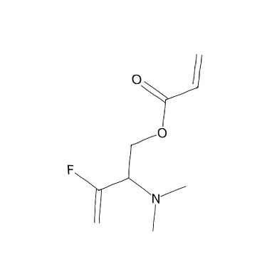 C=CC(=O)OCC(C(=C)F)N(C)C